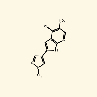 Cn1cc(-c2cc3c(Cl)c([N+](=O)[O-])cnc3[nH]2)cn1